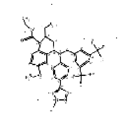 CCOC(=O)N1c2ccc(OC)cc2C(N(Cc2cc(C(F)(F)F)cc(C(F)(F)F)c2)c2ncc(-c3nnn(I)n3)cn2)CC1CC